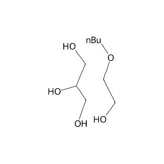 CCCCOCCO.OCC(O)CO